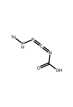 [3H]PP=C=NC(=O)O